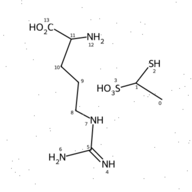 CC(S)S(=O)(=O)O.N=C(N)NCCCC(N)C(=O)O